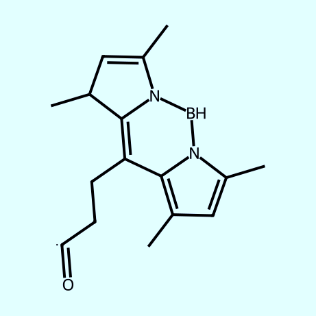 CC1=CC(C)C2=C(CC[C]=O)c3c(C)cc(C)n3BN12